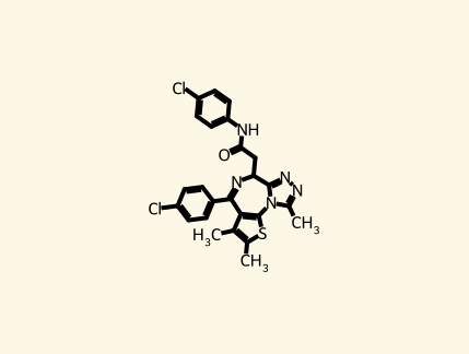 Cc1sc2c(c1C)C(c1ccc(Cl)cc1)=NC(CC(=O)Nc1ccc(Cl)cc1)c1nnc(C)n1-2